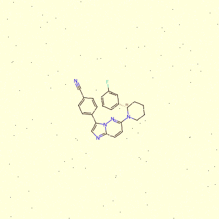 N#Cc1ccc(-c2cnc3ccc(N4CCCC[C@H]4c4cccc(F)c4)nn23)cc1